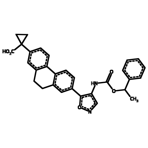 CC(OC(=O)Nc1cnoc1-c1ccc2c(c1)CCc1cc(C3(C(=O)O)CC3)ccc1-2)c1ccccc1